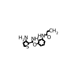 C=CC(=O)Nc1cccc(OC(=N)c2sccc2N)c1